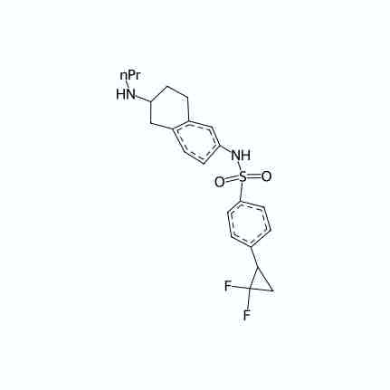 CCCNC1CCc2cc(NS(=O)(=O)c3ccc(C4CC4(F)F)cc3)ccc2C1